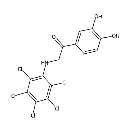 O=C(CNc1c(Cl)c(Cl)c(Cl)c(Cl)c1Cl)c1ccc(O)c(O)c1